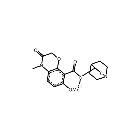 COc1ccc2c(c1C(=O)N(Cl)C1CN3CCC1CC3)OCC(=O)N2C